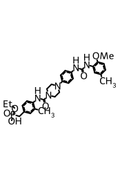 CCOP(=O)(O)Cc1ccc(NC(=O)N2CCN(c3ccc(NC(=O)Nc4cc(C)ccc4OC)cc3)CC2)c(C)c1